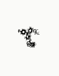 CC(=O)[O-].CCC(C)OC(Cn1cc[n+](C(c2ccccc2)c2ccc(F)cc2)c1)c1cccs1